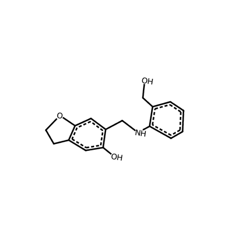 OCc1ccccc1NCc1cc2c(cc1O)CCO2